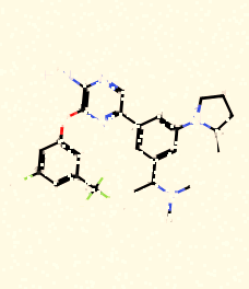 CC(c1cc(-c2cnc(N)c(Oc3cc(F)cc(C(F)(F)F)c3)n2)cc(N2CCC[C@H]2C)c1)N(C)C